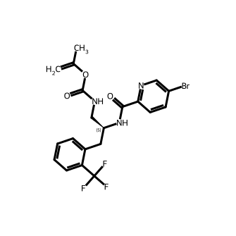 C=C(C)OC(=O)NC[C@H](Cc1ccccc1C(F)(F)F)NC(=O)c1ccc(Br)cn1